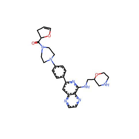 O=C(C1CC=CO1)N1CCN(c2ccc(-c3cc4nccnc4c(NCC4CNCCO4)n3)cc2)CC1